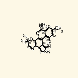 [2H]c1[nH]cc2c3c(cc(-c4c(F)cc(C(F)(F)F)cc4C(N)=O)c12)OC([2H])([2H])C=N3